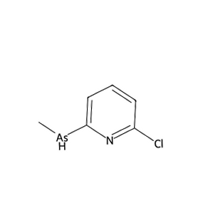 C[AsH]c1cccc(Cl)n1